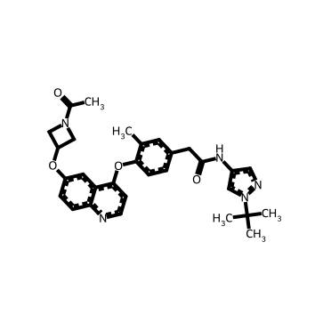 CC(=O)N1CC(Oc2ccc3nccc(Oc4ccc(CC(=O)Nc5cnn(C(C)(C)C)c5)cc4C)c3c2)C1